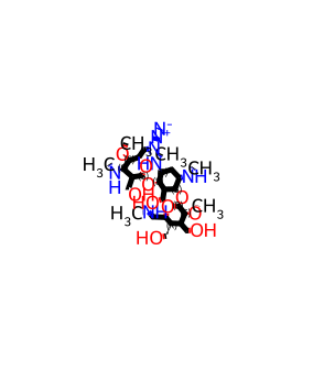 CNCC1O[C@H](O[C@@H]2C(NC)C[C@@H](NC)[C@@H](O[C@H]3OC(CN=[N+]=[N-])[C@@H](OC)[C@@H](NC)C3CO)C2CO)[C@@H](OC)C(CO)[C@@H]1CO